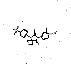 [C-]#[N+]c1ccc(N2C(=O)C3(CCC3)N(c3ccc(S(C)(=O)=O)cc3)C2=S)cc1C